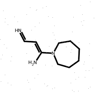 N=C/C=C(\N)N1CCCCCC1